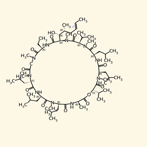 C/C=C/C[C@@H](C)[C@@H](O)[C@@H]1C(=O)N[C@H](CC)C(=O)N(C)CC(=O)N(C)[C@@H](CC(C)C)C(=O)N[C@H](CC(C)C)C(=O)N(C)[C@H](CC(C)C)C(=O)N[C@H](C)C(=O)O[C@@H](C(C)C)C(=O)N(C)[C@H](CC(C)C)C(=O)N[C@H](CC(C)C)C(=O)N(C)[C@H](C(C)C)C(=O)N1C